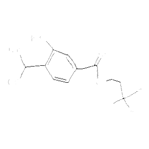 Cc1cc(C(=O)OCC(F)(F)F)ccc1C(C)C